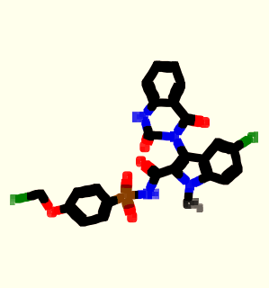 Cn1c(C(=O)NS(=O)(=O)c2ccc(OCF)cc2)c(-n2c(=O)[nH]c3ccccc3c2=O)c2cc(Cl)ccc21